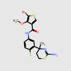 COc1c(C(=O)Nc2ccc(F)c(C3(C)CCSC(N)=N3)c2)csc1Br